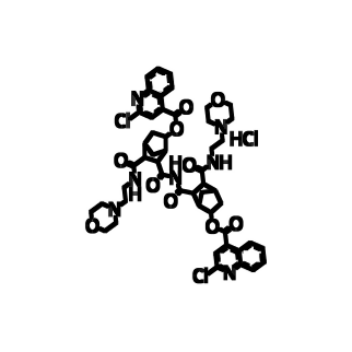 Cl.O=C(OC1CC2CC1C(C(=O)NC(=O)C1C3CC(CC3OC(=O)c3cc(Cl)nc4ccccc34)C1C(=O)NCCN1CCOCC1)C2C(=O)NCCN1CCOCC1)c1cc(Cl)nc2ccccc12